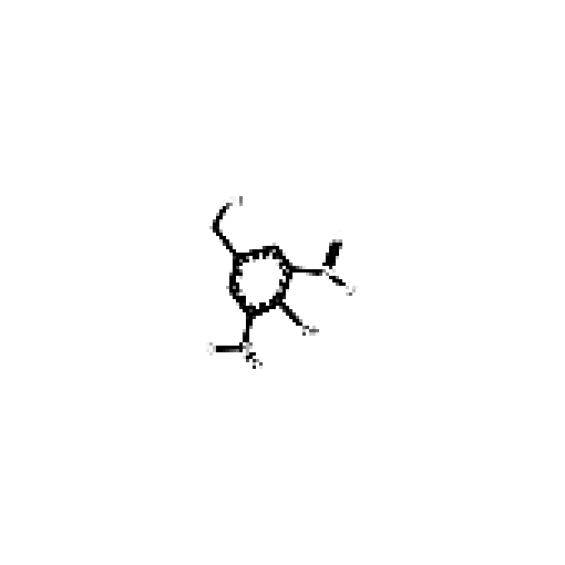 O=[N+]([O-])c1cc(CO)cc([N+](=O)[O-])c1O